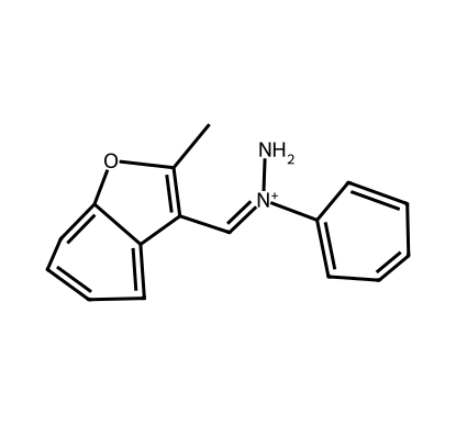 Cc1oc2ccccc2c1C=[N+](N)c1ccccc1